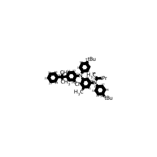 Cc1cc(N(c2ccc(C(C)(C)C)cc2)c2ccc(C(C)(C)c3ccccc3)cc2C#N)cc(N(c2ccc(C(C)(C)C)cc2)C(C)C(C)C)c1